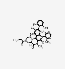 C=CC(=O)N1C[C@@H](C)N2c3c(c(=O)n(-c4c(C)ncnc4C)c4nc(-c5c(O)cccc5F)c(Cl)cc34)N(C)C(=O)[C@H]2C1